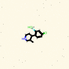 CC1CNCCC1c1ccc(Cl)cc1F.Cl